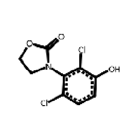 O=C1OCCN1c1c(Cl)ccc(O)c1Cl